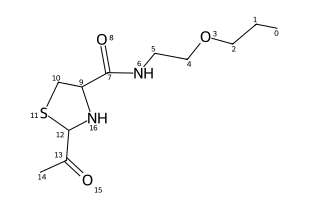 CCCOCCNC(=O)C1CSC(C(C)=O)N1